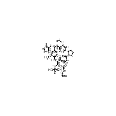 CC(C)C[C@H](NC(=O)[C@@H]1CCCN1C(=O)CCOCCOC(C)(C)C)C(=O)N[C@@H](Cc1cnc[nH]1)C(=O)N[C@@H](C)C(=O)N[C@H](C(N)=O)[C@@H](C)CP(=O)(O)O